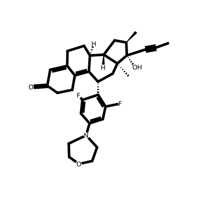 CC#C[C@]1(O)[C@H](C)C[C@H]2[C@@H]3CCC4=CC(=O)CCC4=C3[C@@H](c3c(F)cc(N4CCOCC4)cc3F)C[C@@]21C